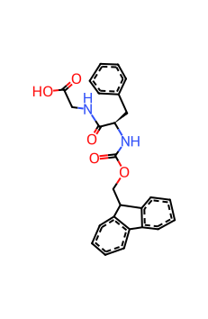 O=C(O)CNC(=O)[C@@H](Cc1ccccc1)NC(=O)OCC1c2ccccc2-c2ccccc21